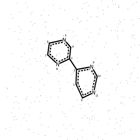 c1cc(-c2cnccn2)ncn1